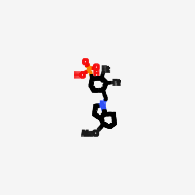 CCc1c(Cn2ccc3c(OC)cccc32)ccc(P(=O)(O)O)c1CC